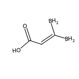 BC(B)=CC(=O)O